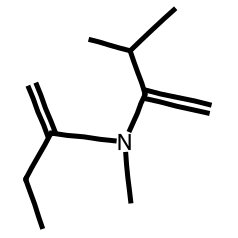 C=C(CC)N(C)C(=C)C(C)C